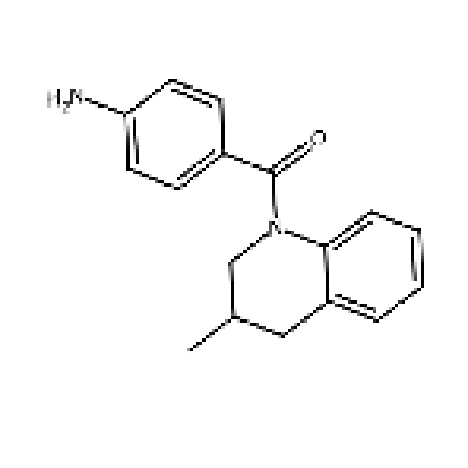 CC1Cc2ccccc2N(C(=O)c2ccc(N)cc2)C1